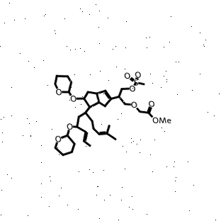 CC=CC(CC(CCC=C(C)C)C1C(OC2CCCCO2)CC2C=C(C(COCC(=O)OC)COS(C)(=O)=O)CC21)OC1CCCCO1